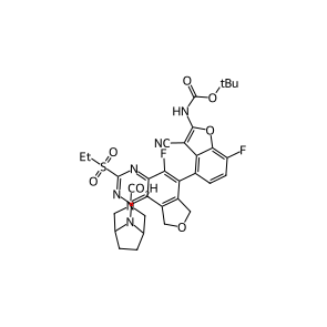 CCS(=O)(=O)c1nc(N2C3CCC2CN(C(=O)O)C3)c2c3c(c(-c4ccc(F)c5oc(NC(=O)OC(C)(C)C)c(C#N)c45)c(F)c2n1)COC3